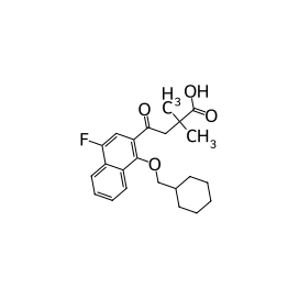 CC(C)(CC(=O)c1cc(F)c2ccccc2c1OCC1CCCCC1)C(=O)O